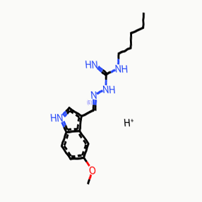 CCCCCNC(=N)N/N=C/c1c[nH]c2ccc(OC)cc12.[H+]